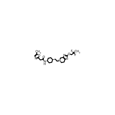 Cc1cnc(CC(=O)N[C@H]2CC[C@H](CCN3CCc4sc(OCC(C)(F)F)nc4C3)CC2)o1